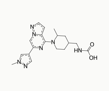 CC1CC(CNC(=O)O)CCN1c1nc(-c2cnn(C)c2)cn2nccc12